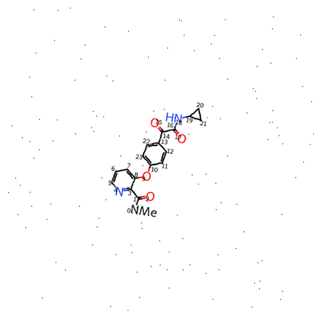 CNC(=O)c1ncccc1Oc1ccc(C(=O)C(=O)NC2CC2)cc1